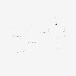 O=C(O)C1=C[N]C(=S)N1C1CCc2c(F)cc(F)cc2C1